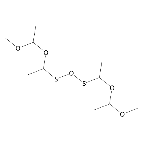 COC(C)OC(C)SOSC(C)OC(C)OC